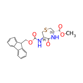 COC(=O)[C@H]1CSC[C@H](NC(=O)OCC2c3ccccc3-c3ccccc32)C(=O)N1